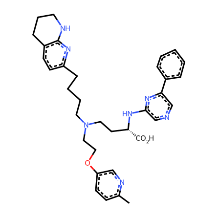 Cc1ccc(OCCN(CCCCc2ccc3c(n2)NCCC3)CC[C@H](Nc2cncc(-c3ccccc3)n2)C(=O)O)cn1